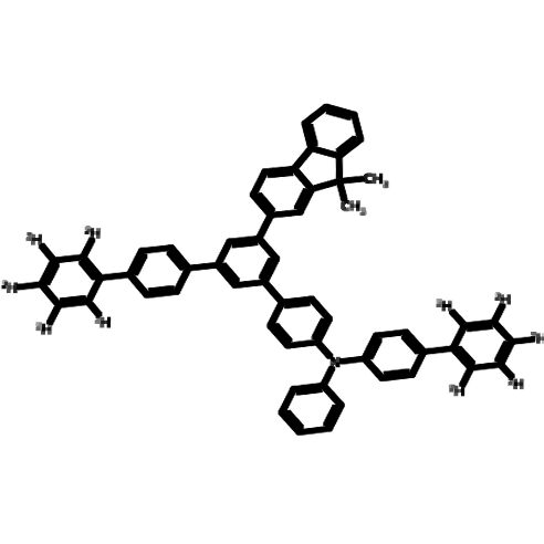 [2H]c1c([2H])c([2H])c(-c2ccc(-c3cc(-c4ccc(N(c5ccccc5)c5ccc(-c6c([2H])c([2H])c([2H])c([2H])c6[2H])cc5)cc4)cc(-c4ccc5c(c4)C(C)(C)c4ccccc4-5)c3)cc2)c([2H])c1[2H]